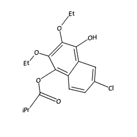 CCOc1c(OCC)c(OC(=O)C(C)C)c2ccc(Cl)cc2c1O